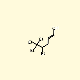 CCC(CC=CO)C(CC)(CC)CC